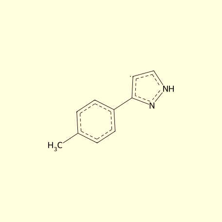 Cc1ccc(-c2[c]c[nH]n2)cc1